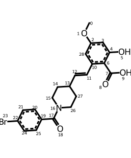 COc1cc(O)c(C(=O)O)c(C=CC2CCN(C(=O)c3ccc(Br)cc3)CC2)c1